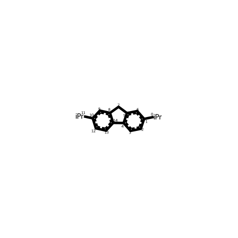 CC(C)c1ccc2c(c1)Cc1cc(C(C)C)ccc1-2